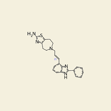 Nc1nc2c(s1)CCN(C/C=C/c1cccc3[nH]c(-c4ccccc4)nc13)CC2